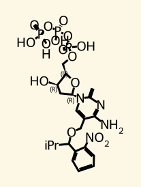 C=C1N=C(N)C(COC(c2ccccc2[N+](=O)[O-])C(C)C)=CN1[C@H]1C[C@@H](O)[C@@H](COP(=O)(O)OP(=O)(O)OP(=O)(O)O)O1